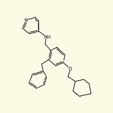 c1ccc(Cc2cc(OCC3CCCCC3)ccc2CNc2ccncc2)cc1